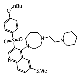 CCCCOc1ccc(S(=O)(=O)c2cnc3ccc(SC)cc3c2N2CCCN(CCN3CCCCC3)CC2)cc1